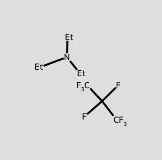 CCN(CC)CC.FC(F)(F)C(F)(F)C(F)(F)F